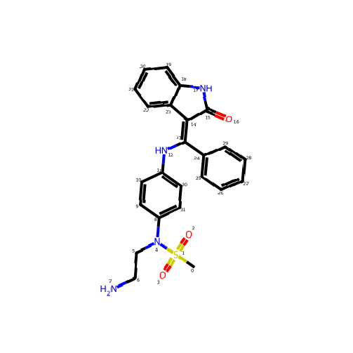 CS(=O)(=O)N(CCN)c1ccc(NC(=C2C(=O)Nc3ccccc32)c2ccccc2)cc1